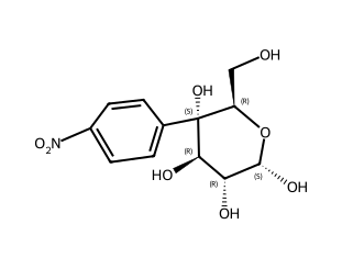 O=[N+]([O-])c1ccc([C@]2(O)[C@H](O)[C@@H](O)[C@@H](O)O[C@@H]2CO)cc1